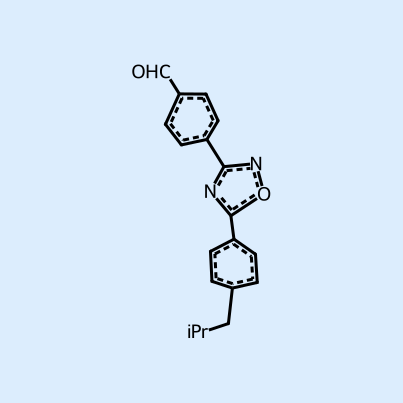 CC(C)Cc1ccc(-c2nc(-c3ccc(C=O)cc3)no2)cc1